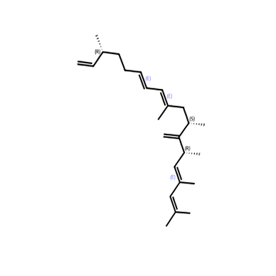 C=C[C@H](C)CC/C=C/C=C(\C)C[C@H](C)C(=C)[C@H](C)/C=C(\C)C=C(C)C